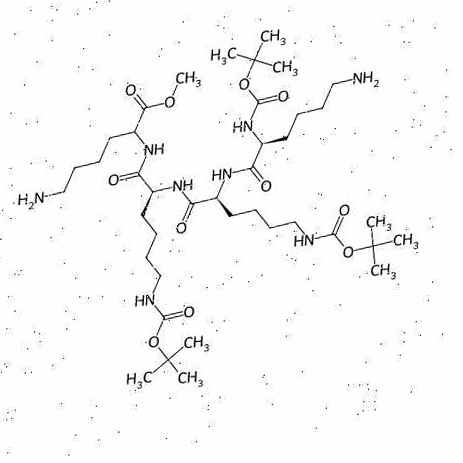 COC(=O)C(CCCCN)NC(=O)[C@H](CCCCNC(=O)OC(C)(C)C)NC(=O)[C@H](CCCCNC(=O)OC(C)(C)C)NC(=O)[C@H](CCCCN)NC(=O)OC(C)(C)C